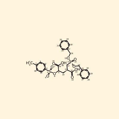 Cc1ccc(S(=O)(=O)OC(C[C@@H](CP(=O)(OCc2ccccc2)OCc2ccccc2)C(=O)O)C(=O)O)cc1